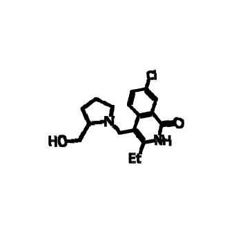 CCc1[nH]c(=O)c2cc(Cl)ccc2c1CN1CCCC1CO